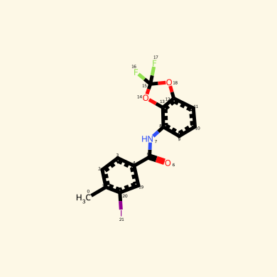 Cc1ccc(C(=O)Nc2cccc3c2OC(F)(F)O3)cc1I